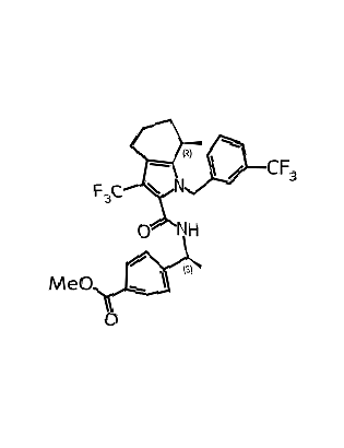 COC(=O)c1ccc([C@H](C)NC(=O)c2c(C(F)(F)F)c3c(n2Cc2cccc(C(F)(F)F)c2)[C@H](C)CCC3)cc1